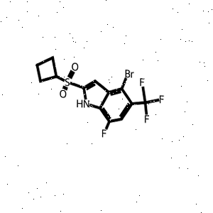 O=S(=O)(c1cc2c(Br)c(C(F)(F)F)cc(F)c2[nH]1)C1CCC1